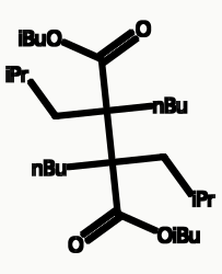 CCCCC(CC(C)C)(C(=O)OCC(C)C)C(CCCC)(CC(C)C)C(=O)OCC(C)C